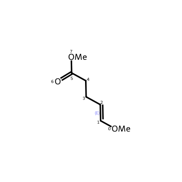 CO/C=C/CCC(=O)OC